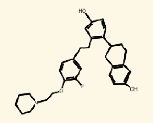 Oc1ccc2c(c1)CCC(c1ccc(O)cc1CCc1ccc(OCCN3CCCCC3)c(F)c1)C2